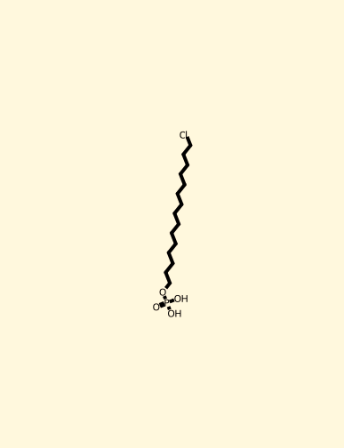 O=P(O)(O)OCCCCCCCCCCCCCCCCl